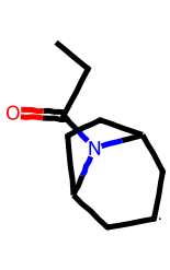 CCC(=O)N1C2C[CH]CC1CC2